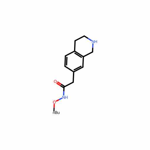 CCCCONC(=O)Cc1ccc2c(c1)CNCC2